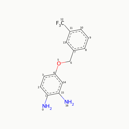 Nc1ccc(OCc2cccc(C(F)(F)F)c2)cc1N